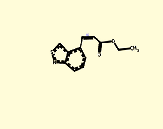 CCOC(=O)/C=C\c1cccc2nscc12